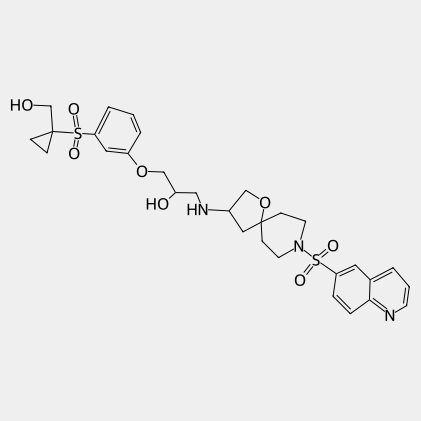 O=S(=O)(c1ccc2ncccc2c1)N1CCC2(CC1)CC(NCC(O)COc1cccc(S(=O)(=O)C3(CO)CC3)c1)CO2